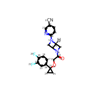 N#Cc1ccc(N2CC3[C@H]2CN3C(=O)COC2(c3ccc(F)c(F)c3)CC2)nc1